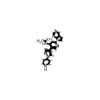 CC(C)Nc1cc(-n2ccc3cncnc32)ncc1-c1cn(C2CCNCC2)nn1